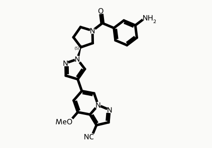 COc1cc(-c2cnn([C@H]3CCN(C(=O)c4cccc(N)c4)C3)c2)cn2ncc(C#N)c12